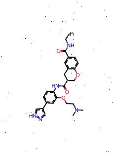 CC(C)CNC(=O)c1ccc2c(c1)CC(C(=O)Nc1ccc(-c3cn[nH]c3)cc1OCCN(C)C)CO2